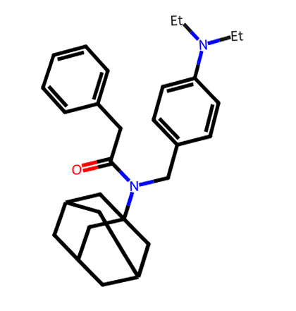 CCN(CC)c1ccc(CN(C(=O)Cc2ccccc2)C23CC4CC(CC(C4)C2)C3)cc1